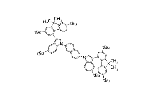 CC(C)(C)c1ccc2c(c1)C(C)(C)c1cc(C(C)(C)C)cc(-c3cn(-c4ccc5cc(-n6cc(-c7cc(C(C)(C)C)cc8c7-c7ccc(C(C)(C)C)cc7C8(C)C)c7cc(C(C)(C)C)ccc76)ccc5c4)c4ccc(C(C)(C)C)cc34)c1-2